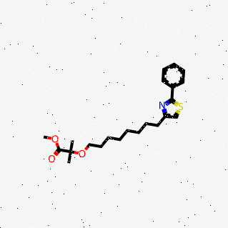 COC(=O)C(C)(C)OCCCCCCCCc1csc(-c2ccccc2)n1